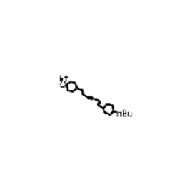 CCCCC1CCC(C=CC#CC=CC2CCC(OCC)CC2)CC1